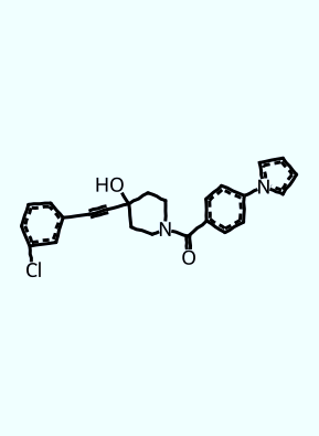 O=C(c1ccc(-n2cccc2)cc1)N1CCC(O)(C#Cc2cccc(Cl)c2)CC1